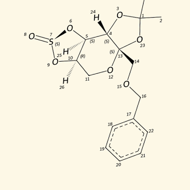 CC1(C)O[C@H]2[C@@H]3O[S@](=O)O[C@@H]3CO[C@@]2(COCc2ccccc2)O1